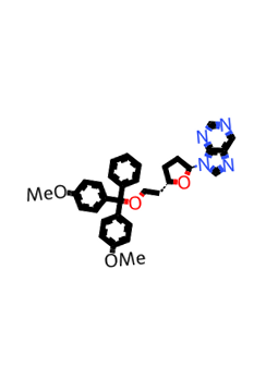 COc1ccc(C(OCC[C@@H]2CC[C@H](n3cnc4cncnc43)O2)(c2ccccc2)c2ccc(OC)cc2)cc1